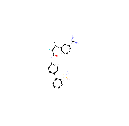 C/C(=C(\F)C(=O)Nc1ccc(-c2ccccc2S(N)(=O)=O)cc1)c1cccc(C(=N)N)c1